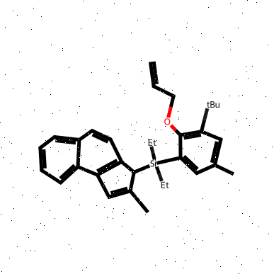 C=CCOc1c(C(C)(C)C)cc(C)cc1[Si](CC)(CC)C1C(C)=Cc2c1ccc1ccccc21